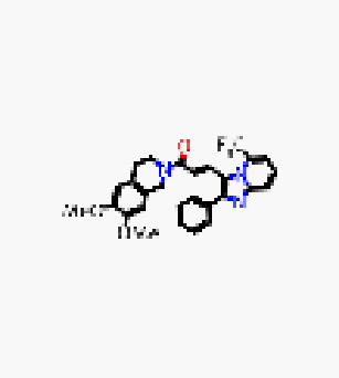 COc1cc2c(cc1OC)CN(C(=O)/C=C/c1c(-c3ccccc3)nc3cccc(C(F)(F)F)n13)CC2